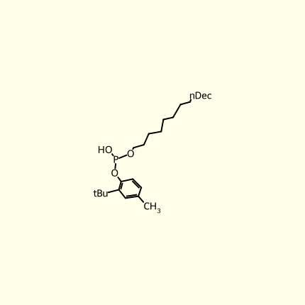 CCCCCCCCCCCCCCCCCCOP(O)Oc1ccc(C)cc1C(C)(C)C